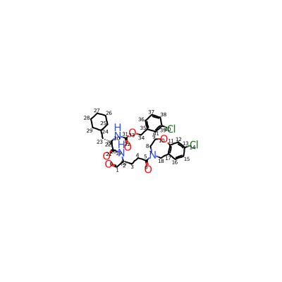 O=C[C@H](CCC(=O)N1CCOc2cc(Cl)ccc2C1)NC(=O)[C@H](CC1CCCCC1)NC(=O)OCc1cccc(Cl)c1